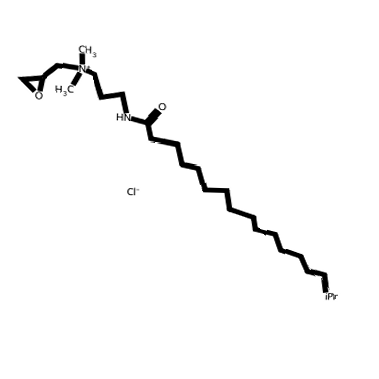 CC(C)CCCCCCCCCCCCCCC(=O)NCCC[N+](C)(C)CC1CO1.[Cl-]